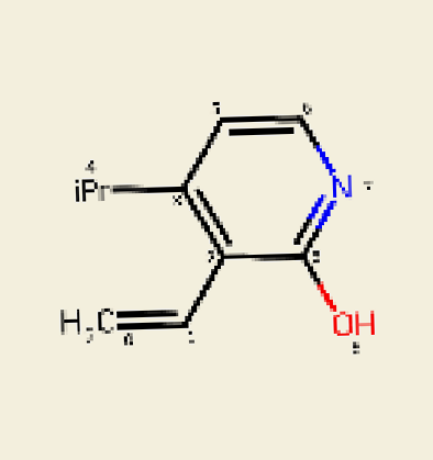 C=Cc1c(C(C)C)ccnc1O